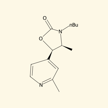 CCCCN1C(=O)O[C@H](c2ccnc(C)c2)[C@@H]1C